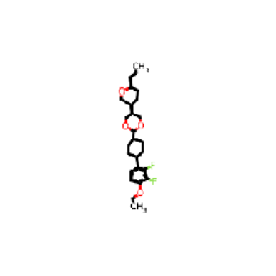 CCCC1CCC(C2COC(C3CCC(c4ccc(OCC)c(F)c4F)CC3)OC2)CO1